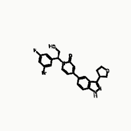 O=c1cc(-c2ccc3[nH]nc(C4CCOC4)c3c2)ccn1[C@H](CO)c1cc(F)cc(Br)c1